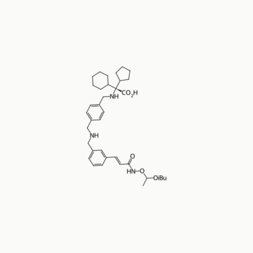 CC(C)COC(C)ONC(=O)C=Cc1cccc(CNCc2ccc(CN[C@](C(=O)O)(C3CCCCC3)C3CCCC3)cc2)c1